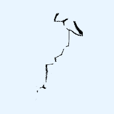 C=CC(=O)OC(C=C)COCCOCCNC(=O)OC(C)(C)C